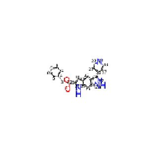 O=C(OCc1ccccc1)c1cc2cc3c(-c4ccncc4)n[nH]c3cc2[nH]1